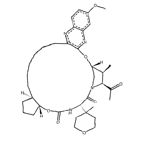 COc1ccc2nc3c(nc2c1)O[C@H]1CN(C(=O)[C@H](C2(C)CCOCC2)NC(=O)O[C@@H]2CCC[C@H]2CCCCCC3)[C@H](C(C)=O)[C@@H]1C